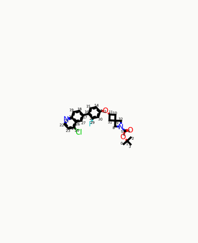 CC(C)(C)OC(=O)N1CC2(CC(Oc3ccc(-c4ccc5nccc(Cl)c5c4)c(F)c3)C2)C1